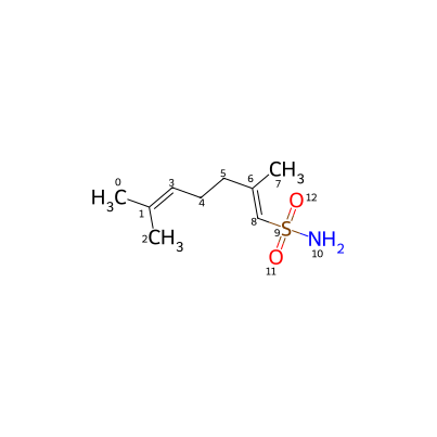 CC(C)=CCCC(C)=CS(N)(=O)=O